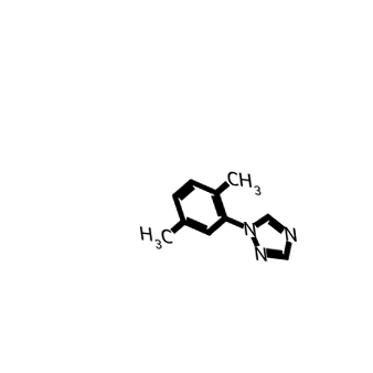 Cc1ccc(C)c(-n2cncn2)c1